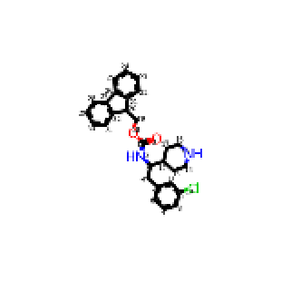 O=C(NC(Cc1cccc(Cl)c1)C1CCNCC1)OCC1c2ccccc2-c2ccccc21